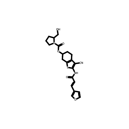 N#Cc1c(NC(=O)C=Cc2ccoc2)sc2c1CCC(OC(=O)N1CCCC1CO)C2